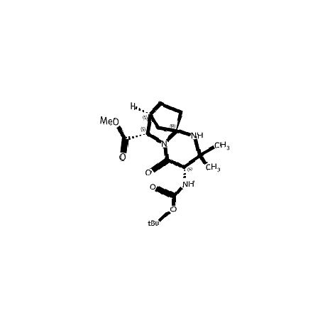 COC(=O)[C@@H]1[C@H]2CC[C@@]3(C2)NC(C)(C)[C@H](NC(=O)OC(C)(C)C)C(=O)N13